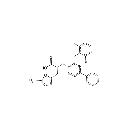 Cc1ccc(CC(Cc2ncc(-c3ccccc3)nc2Cc2c(F)cccc2F)C(=O)O)o1